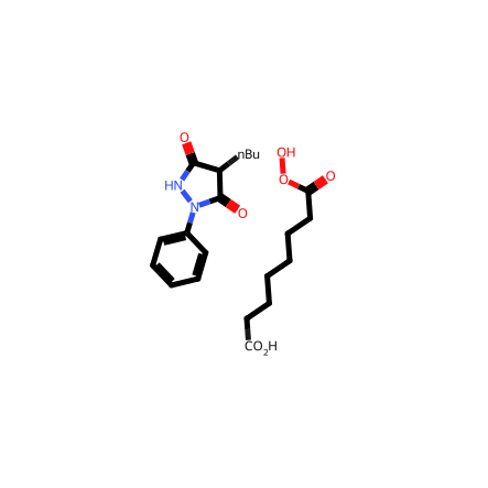 CCCCC1C(=O)NN(c2ccccc2)C1=O.O=C(O)CCCCCCC(=O)OO